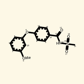 COc1cccc(Oc2ccc(C(=O)NS(C)(=O)=O)cc2)c1